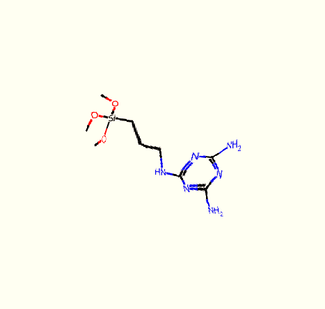 CO[Si](CCCNc1nc(N)nc(N)n1)(OC)OC